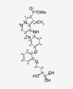 COC(=O)c1cn2ncc(C#N)c(Nc3ccc(Oc4ccccc4OCCC(O)C(O)O)cc3)c2c1C